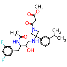 COC(=O)CC(=O)N1CC(NCC(O)C(Cc2cc(F)cc(F)c2)NC(C)=O)(c2cccc(C(C)C)c2)C1